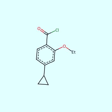 CCOc1cc(C2CC2)ccc1C(=O)Cl